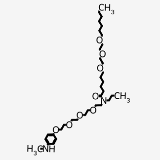 CCCCCCCOCCOCCOCCCCCC(=O)N(CCC)CCOCCOCCOCCOc1ccc(NC)cc1